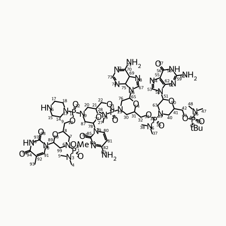 COP(=O)(N(C)C)N1CC(COP(=O)(N2CCNCC2)N2CC(COP(=O)(N(C)C)N3CC(COP(=O)(N(C)C)N4CC(COP(=O)(N(C)C)C(C)(C)C)OC(n5cnc6c(=O)[nH]c(N)nc65)C4)OC(N4C=NC5C(N)=NC=NC54)C3)OC(n3ccc(N)nc3=O)C2)OC(n2cc(C)c(=O)[nH]c2=O)C1